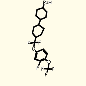 Fc1cc(OC(F)(F)C2CCC(C3CC[CH]([RaH])CC3)CC2)ccc1OC(F)(F)F